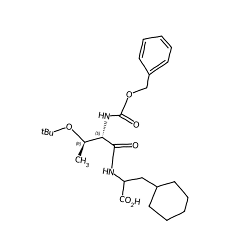 C[C@@H](OC(C)(C)C)[C@H](NC(=O)OCc1ccccc1)C(=O)NC(CC1CCCCC1)C(=O)O